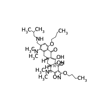 CCCCOc1cc(CNCC(C)C)c(N(C)C)c2c1C(=O)C1=C(O)[C@]3(O)C(=O)c4c(OCCCC)noc4[C@@H](N(C)C)[C@@H]3C[C@@H]1C2